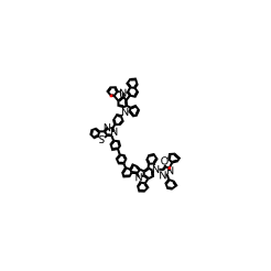 c1ccc(-c2nc(-n3c4ccccc4c4c5c6ccc7c(-c8ccc(-c9ccc(-c%10nc(-c%11ccc(-n%12c%13ccccc%13c%13c%14c%15ccc%16ccccc%16c%15n%15c%16ccccc%16c(cc%13%12)c%14%15)cc%11)nc%11c%10sc%10ccccc%10%11)cc9)cc8)cccc7c6n6c7ccccc7c(cc43)c56)c3oc4ccccc4c3n2)cc1